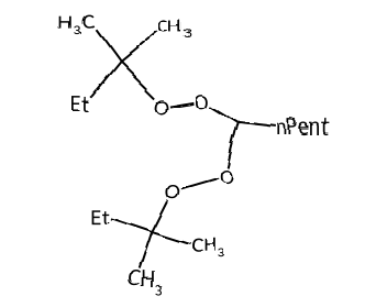 CCCCCC(OOC(C)(C)CC)OOC(C)(C)CC